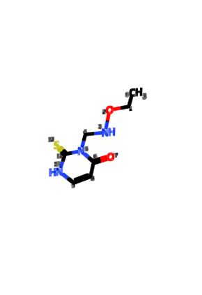 CCONCn1c(=O)cc[nH]c1=S